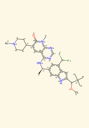 CCOC(c1cc2c(C(F)F)cc([C@@H](C)Nc3ncnc4c3cc(C3CCN(C(C)=O)CC3)c(=O)n4C)cc2[nH]1)[Si](C)(C)C